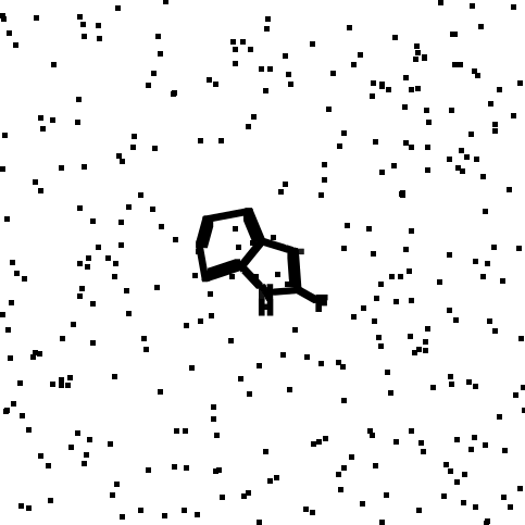 Fc1[c]c2ccccc2[nH]1